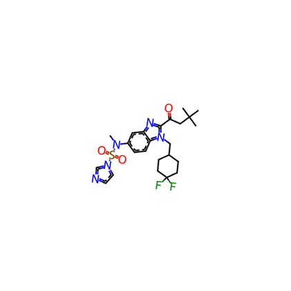 CN(c1ccc2c(c1)nc(C(=O)CC(C)(C)C)n2CC1CCC(F)(F)CC1)S(=O)(=O)n1ccnc1